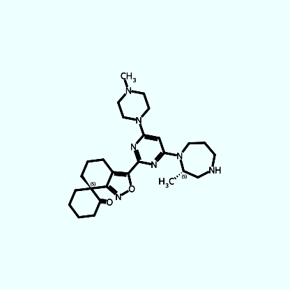 C[C@H]1CNCCCN1c1cc(N2CCN(C)CC2)nc(-c2onc3c2CCC[C@@]32CCCCC2=O)n1